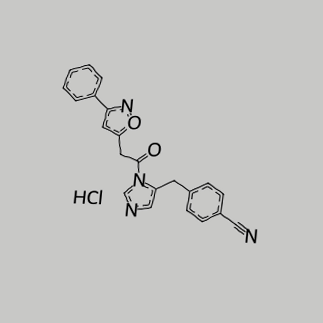 Cl.N#Cc1ccc(Cc2cncn2C(=O)Cc2cc(-c3ccccc3)no2)cc1